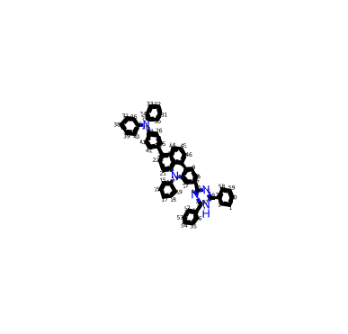 c1ccc(C2=NC(c3ccc4c(c3)N(c3ccccc3)c3ccc(-c5ccc(N(c6ccccc6)c6ccccc6)cc5)c5cccc-4c35)=NC(c3ccccc3)N2)cc1